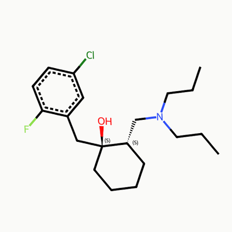 CCCN(CCC)C[C@@H]1CCCC[C@]1(O)Cc1cc(Cl)ccc1F